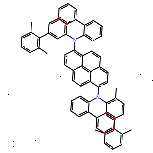 Cc1ccc(-c2c(C)cccc2C)cc1N(c1ccccc1-c1ccccc1)c1ccc2ccc3c(N(c4cc(-c5c(C)cccc5C)ccc4C)c4ccccc4-c4ccccc4)ccc4ccc1c2c43